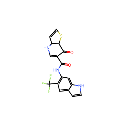 O=C(Nc1cc2[nH]ccc2cc1C(F)(F)F)C1=CNC2C=CSC2C1=O